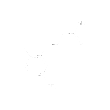 Bc1ccc(C)c(CCCC(=O)CCC)c1